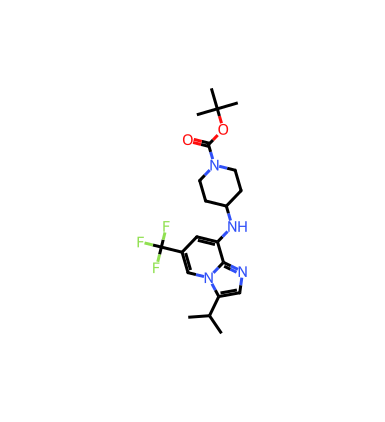 CC(C)c1cnc2c(NC3CCN(C(=O)OC(C)(C)C)CC3)cc(C(F)(F)F)cn12